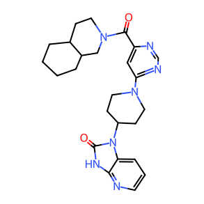 O=C(c1cc(N2CCC(n3c(=O)[nH]c4ncccc43)CC2)ncn1)N1CCC2CCCCC2C1